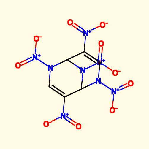 O=[N+]([O-])C1=CN([N+](=O)[O-])C2C([N+](=O)[O-])=CN([N+](=O)[O-])C1N2[N+](=O)[O-]